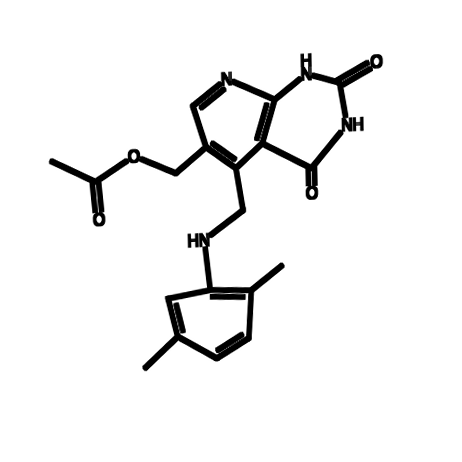 CC(=O)OCc1cnc2[nH]c(=O)[nH]c(=O)c2c1CNc1cc(C)ccc1C